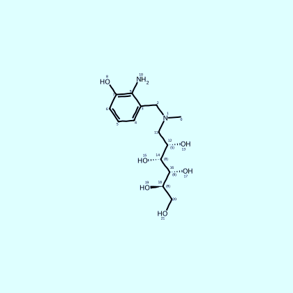 CN(Cc1cccc(O)c1N)C[C@H](O)[C@@H](O)[C@H](O)[C@H](O)CO